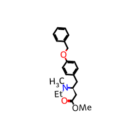 CCN(C)[C@H](CC(=O)OC)Cc1ccc(OCc2ccccc2)cc1